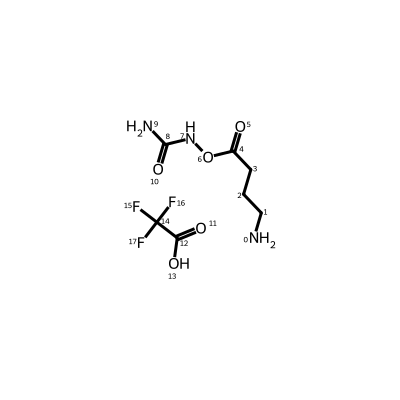 NCCCC(=O)ONC(N)=O.O=C(O)C(F)(F)F